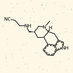 CN1C[C@H](CNCCC#N)CC2c3cccc4[nH]cc(c34)C[C@H]21